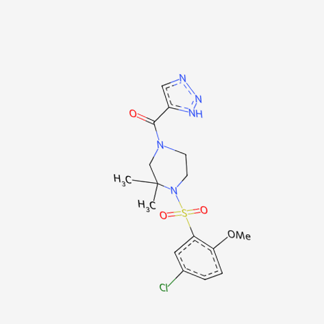 COc1ccc(Cl)cc1S(=O)(=O)N1CCN(C(=O)c2cnn[nH]2)CC1(C)C